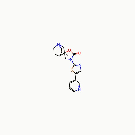 O=C1O[C@]2(CN3CCC2CC3)CN1c1ncc(-c2cccnc2)s1